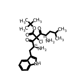 CC(C)C[C@H](N)C(=O)C(Cl)(C(=O)OC(C)(C)C)C(=O)[C@@H](N)Cc1c[nH]c2ccccc12